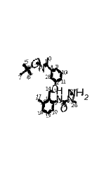 CC(=NOC(C)(C)C)c1cccc(OCc2c(C)cccc2NC(=O)N(C)N)c1